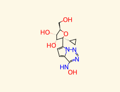 OC[C@H]1O[C@](c2ccc3c(NO)ncnn23)(C2CC2)[C@H](O)[C@@H]1O